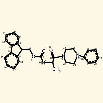 CC(NC(=O)OCC1c2ccccc2-c2ccccc21)C(=O)N1CCN(c2ccccc2)CC1